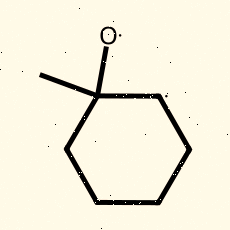 CC1([O])[CH]CCCC1